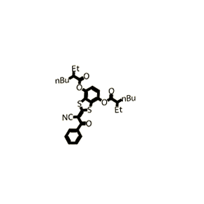 CCCCC(CC)C(=O)Oc1ccc(OC(=O)C(CC)CCCC)c2c1SC(=C(C#N)C(=O)c1ccccc1)S2